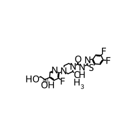 CC1CN(c2ncc([C@H](O)CO)cc2F)CCN1C(=O)Nc1nc2cc(F)c(F)cc2s1